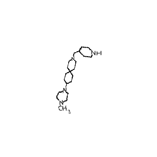 CN1CCN(C2CCC3(CC2)CCN(CC2CCNCC2)CC3)CC1